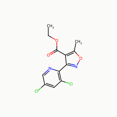 CCOC(=O)c1c(-c2ncc(Cl)cc2Cl)noc1C